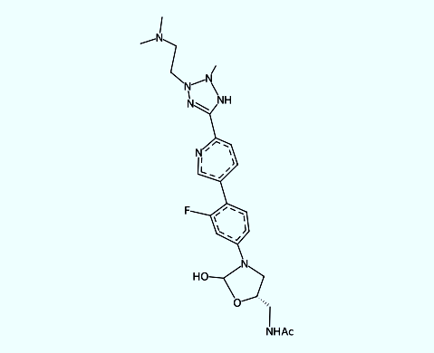 CC(=O)NC[C@H]1CN(c2ccc(-c3ccc(C4=NN(CCN(C)C)N(C)N4)nc3)c(F)c2)C(O)O1